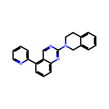 c1ccc(-c2cccc3nc(N4CCc5ccccc5C4)ncc23)nc1